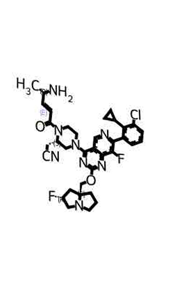 C[C@@H](N)/C=C/C(=O)N1CCN(c2nc(OC[C@@]34CCCN3C[C@H](F)C4)nc3c(F)c(-c4cccc(Cl)c4C4CC4)ncc23)C[C@@H]1CC#N